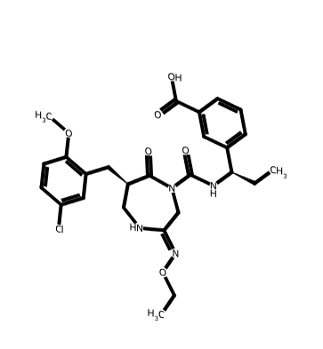 CCO/N=C1/CN(C(=O)N[C@H](CC)c2cccc(C(=O)O)c2)C(=O)[C@H](Cc2cc(Cl)ccc2OC)CN1